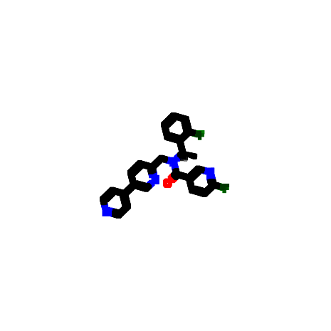 C[C@H](c1ccccc1F)N(Cc1ccc(-c2ccncc2)cn1)C(=O)c1ccc(F)nc1